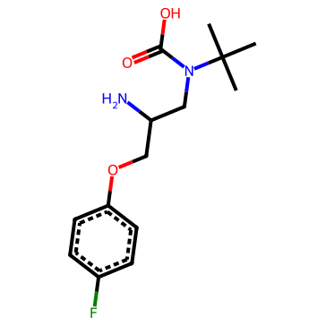 CC(C)(C)N(CC(N)COc1ccc(F)cc1)C(=O)O